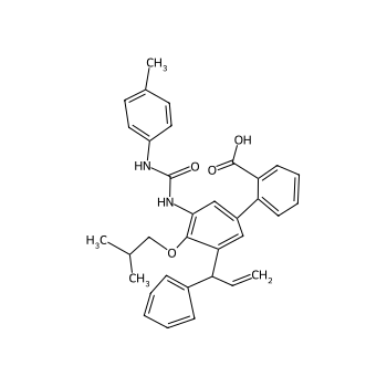 C=CC(c1ccccc1)c1cc(-c2ccccc2C(=O)O)cc(NC(=O)Nc2ccc(C)cc2)c1OCC(C)C